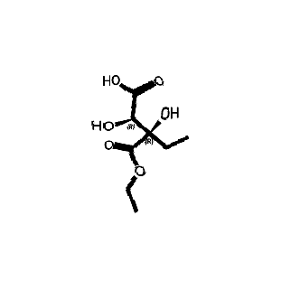 CCOC(=O)[C@@](O)(CC)[C@@H](O)C(=O)O